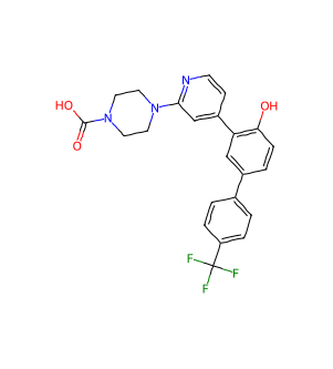 O=C(O)N1CCN(c2cc(-c3cc(-c4ccc(C(F)(F)F)cc4)ccc3O)ccn2)CC1